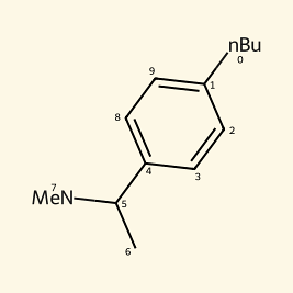 CCCCc1ccc(C(C)NC)cc1